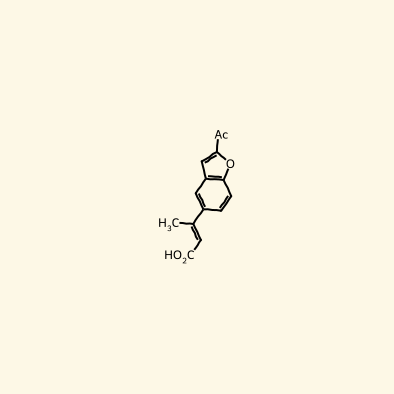 CC(=O)c1cc2cc(/C(C)=C/C(=O)O)ccc2o1